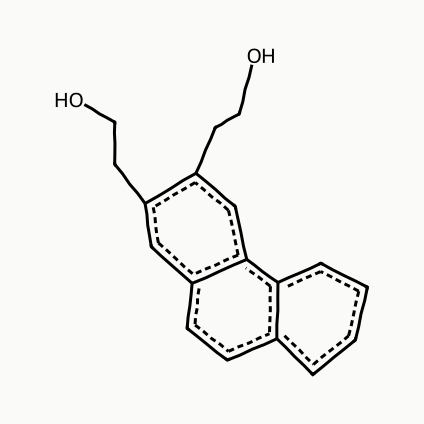 OCCc1cc2ccc3ccccc3c2cc1CCO